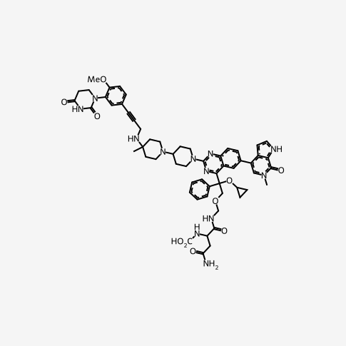 COc1ccc(C#CCNC2(C)CCN(C3CCN(c4nc(C(COCNC(=O)C(CC(N)=O)NC(=O)O)(OC5CC5)c5ccccc5)c5cc(-c6cn(C)c(=O)c7[nH]ccc67)ccc5n4)CC3)CC2)cc1N1CCC(=O)NC1=O